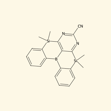 C[Si]1(C)c2ccccc2B2c3ccccc3[Si](C)(C)c3nc(C#N)nc1c32